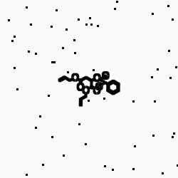 C=CCOC(=O)CC(OS(=O)(=O)c1ccccc1)C(=O)OCC=C